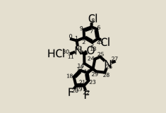 CC(c1cc(Cl)cc(Cl)c1)N(C)C(=O)CC1(c2ccc(F)c(F)c2)CCN(C)CC1.Cl